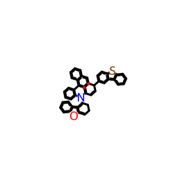 C1=CC(c2ccc3sc4ccccc4c3c2)CC=C1N(C1=c2c(oc3ccccc23)=CCC1)c1ccccc1-c1cccc2ccccc12